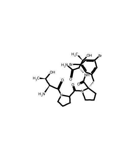 C[C@@H](O)[C@H](N)C(=O)N1CCCC1C(=O)N1CCC[C@]1(Cc1cc(Br)cc(Br)c1)C(=O)N[C@H](C(N)=O)[C@@H](C)O